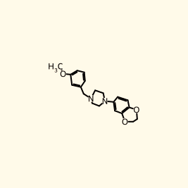 COc1cccc(CN2CCN(c3ccc4c(c3)OCCO4)CC2)c1